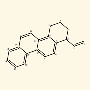 C=CC1CCCc2c1ccc1c2ccc2ccccc21